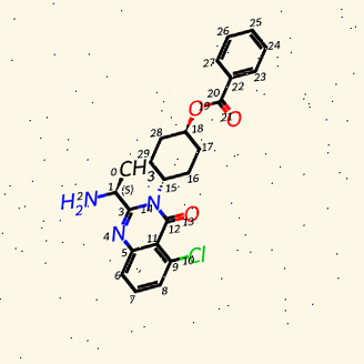 C[C@H](N)c1nc2cccc(Cl)c2c(=O)n1[C@H]1CC[C@H](OC(=O)c2ccccc2)CC1